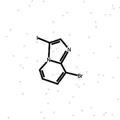 Brc1cccn2c(I)cnc12